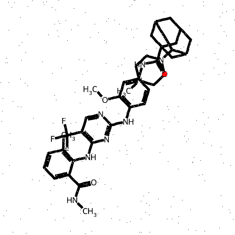 CNC(=O)c1cccc(C)c1Nc1nc(Nc2ccc(NC(=O)C34CC5CC(C3)C(N3CCN(C)CC3)C(C5)C4)cc2OC)ncc1C(F)(F)F